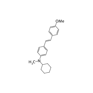 COc1ccc(C=Cc2ccc(N(C)C3CCCCC3)cc2)cc1